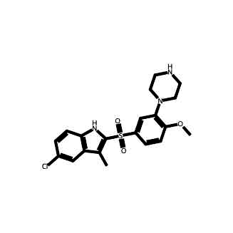 COc1ccc(S(=O)(=O)c2[nH]c3ccc(Cl)cc3c2C)cc1N1CCNCC1